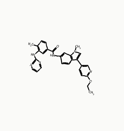 CCOc1ccc(-c2cn(C)c3cc(NC(=O)c4ccc(C)c(Nc5ncccn5)c4)ccc23)cn1